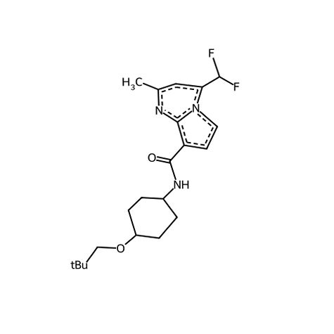 Cc1cc(C(F)F)n2ccc(C(=O)NC3CCC(OCC(C)(C)C)CC3)c2n1